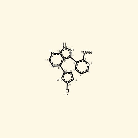 COc1ncccc1-c1n[nH]c2nccc(-c3ccc(Cl)s3)c12